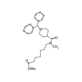 COC(=O)CCCCCCN(C)C(=O)C1CCN(C(c2ccccc2)c2ccccc2)CC1